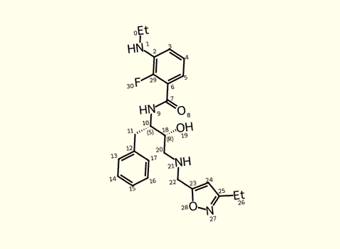 CCNc1cccc(C(=O)N[C@@H](Cc2ccccc2)[C@H](O)CNCc2cc(CC)no2)c1F